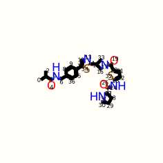 CC(C)C(=O)NCc1ccc(-c2cnc(C3CN(C(=O)c4ccc(NC(=O)[C@@H]5CCCN5)s4)C3)s2)cc1